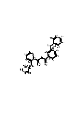 O=C(CC(=O)c1ncccc1Cn1cncn1)c1cccc(Cc2ccccc2)c1